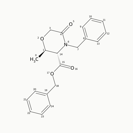 C[C@H]1OCC(=O)N(Cc2ccccc2)[C@@H]1C(=O)OCc1ccccc1